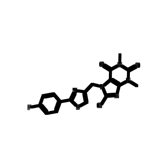 Cn1c(=O)c2c(nc(Cl)n2Cc2csc(-c3ccc(F)cc3)n2)n(C)c1=O